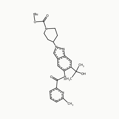 Cc1cccc(C(=O)Nc2cc3cn(C4CCN(C(=O)OC(C)(C)C)CC4)nc3cc2C(C)(C)O)n1